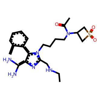 C=c1cccc/c1=c1/c(=C(N)N)nc(CNCC)n1CCCCN(C(C)=O)C1CS(=O)(=O)C1